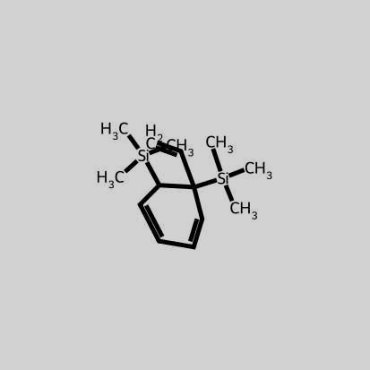 C=CC1([Si](C)(C)C)C=CC=CC1[Si](C)(C)C